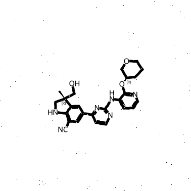 C[C@]1(CO)CNc2c(C#N)cc(-c3ccnc(Nc4cccnc4O[C@@H]4CCCOC4)n3)cc21